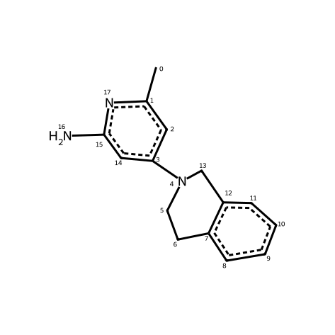 Cc1cc(N2CCc3ccccc3C2)cc(N)n1